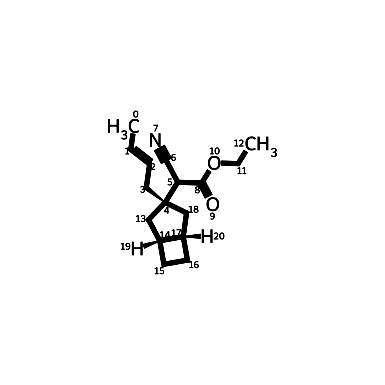 C/C=C/C[C@]1(C(C#N)C(=O)OCC)C[C@H]2CC[C@H]2C1